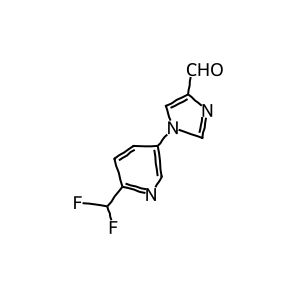 O=Cc1cn(-c2ccc(C(F)F)nc2)cn1